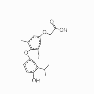 Cc1cc(OCC(=O)O)cc(I)c1Oc1ccc(O)c(C(C)C)c1